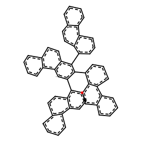 [c]1c(-c2cccc3c2ccc2ccccc23)c(-c2cccc3c2ccc2ccccc23)c(-c2cccc3c2ccc2ccccc23)c2ccc3ccccc3c12